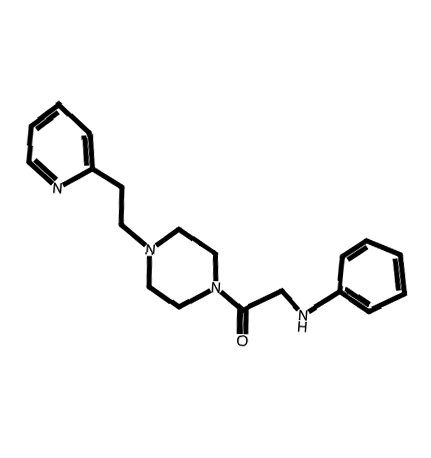 O=C(CNc1ccccc1)N1CCN(CCc2ccccn2)CC1